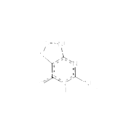 Nc1nc2c(c(=S)[nH]1)NSN2